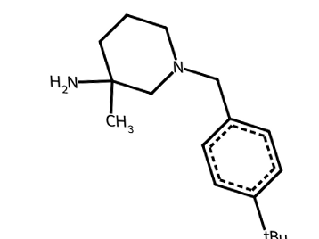 CC1(N)CCCN(Cc2ccc(C(C)(C)C)cc2)C1